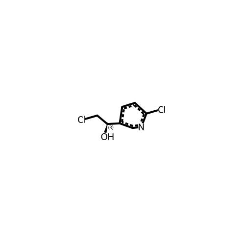 O[C@@H](CCl)c1ccc(Cl)nc1